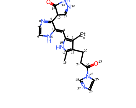 CCc1c(C=C2NC=CN=C2C2C=NNC2=O)[nH]c(C)c1CCC(=O)n1ccnc1